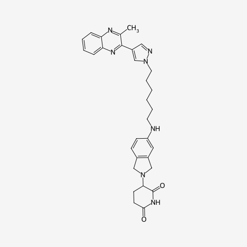 Cc1nc2ccccc2nc1-c1cnn(CCCCCCNc2ccc3c(c2)CN(C2CCC(=O)NC2=O)C3)c1